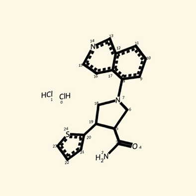 Cl.Cl.NC(=O)C1CN(c2cccc3cnccc23)CC1c1cccs1